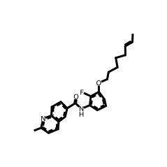 CC=CCCCCCOc1cccc(NC(=O)c2ccc3nc(C)ccc3c2)c1F